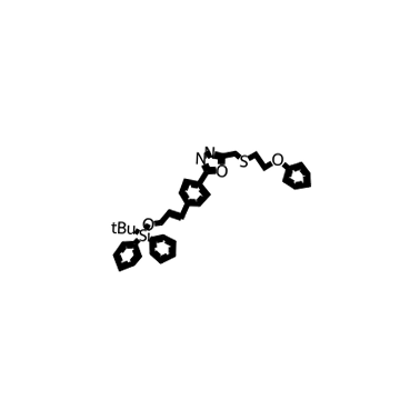 CC(C)(C)[Si](OCC=Cc1ccc(-c2nnc(CSCCOc3ccccc3)o2)cc1)(c1ccccc1)c1ccccc1